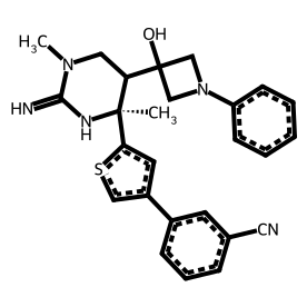 CN1CC(C2(O)CN(c3ccccc3)C2)[C@@](C)(c2cc(-c3cccc(C#N)c3)cs2)NC1=N